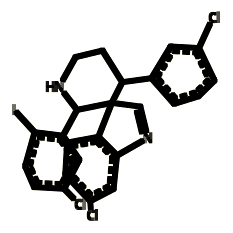 Clc1cccc(C2CCNC(c3cc(Cl)ccc3I)C23C=Nc2cc(Cl)ccc23)c1